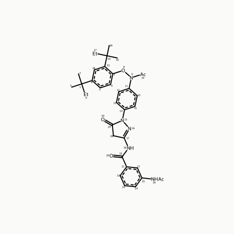 CCC(C)(C)c1ccc(ON(C(C)=O)c2ccc(N3N=C(NC(=O)c4cccc(NC(C)=O)c4)CC3=O)cc2)c(C(C)(C)CC)c1